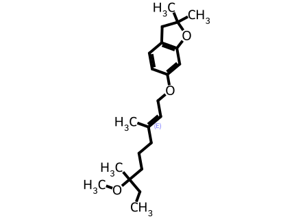 CCC(C)(CCC/C(C)=C/COc1ccc2c(c1)OC(C)(C)C2)OC